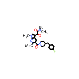 CCN(C)C(=O)C(=O)c1cn(C)c2nc(OC)c(C(=O)N3CCC(Cc4ccc(F)cc4)CC3)cc12